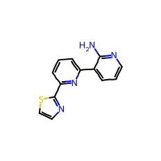 Nc1ncccc1-c1cccc(-c2nccs2)n1